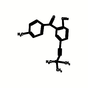 COc1ccc(C#C[Si](C)(C)C)cc1C(=O)c1ccc(C)cc1